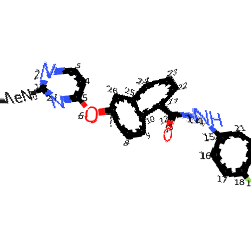 CNc1nccc(Oc2ccc3c(C(=O)Nc4ccc(F)cc4)cccc3c2)n1